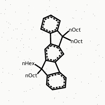 CCCCCCCCC1(CCCCCC)c2ccccc2-c2cc3c(cc21)-c1ccccc1C3(CCCCCCCC)CCCCCCCC